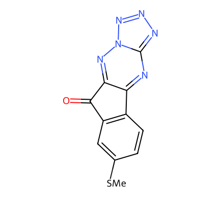 CSc1ccc2c(c1)C(=O)c1nn3nnnc3nc1-2